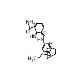 CCCC12CNCCC1(c1ccc(N/C=C3/C=CC=C(C(N)=O)C3=N)cc1)C2